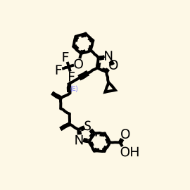 C=C(/C=C/C#Cc1c(-c2ccccc2OC(F)(F)F)noc1C1CC1)CCC(=C)c1nc2ccc(C(=O)O)cc2s1